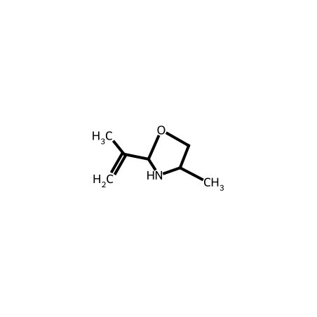 C=C(C)C1NC(C)CO1